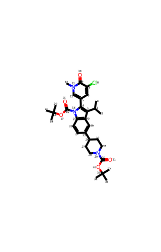 CC(C)c1c(-c2cc(Cl)c(=O)n(C)c2)n(C(=O)OC(C)(C)C)c2ccc(C3CCN(C(=O)OC(C)(C)C)CC3)cc12